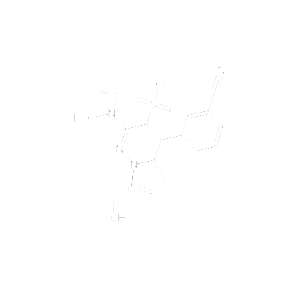 CCc1ccc2c(-c3cccc(C#N)c3)c(S(C)(=O)=O)c(N(C)C)nn12